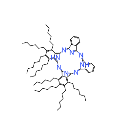 CCCCCCc1c(CCCCCC)c(CCCCCC)c2c(c1CCCCCC)-c1nc-2nc2[nH]c(nc3nc(nc4[nH]c(n1)c1ccccc41)-c1ccccc1-3)c1c(CCCCCC)c(CCCCCC)c(CCCCCC)c(CCCCCC)c21